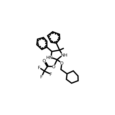 CC1(c2ccccc2)NC(OCC2CCCCC2)(OC(=O)C(F)(F)F)NC1c1ccccc1